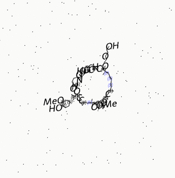 CO[C@@H]1C[C@H](C[C@@H](C)[C@@H]2CC[C@H](C)/C=C(\C)[C@@H](O)[C@@H](OC)C(=O)[C@H](C)C[C@H](C)/C=C/C=C/C=C(\C)[C@H](OCCOCCO)C[C@@H]3CC[C@@H](C)[C@@](O)(O3)C(=O)C(=O)N3CCCC[C@H]3C(=O)O2)CC[C@H]1O